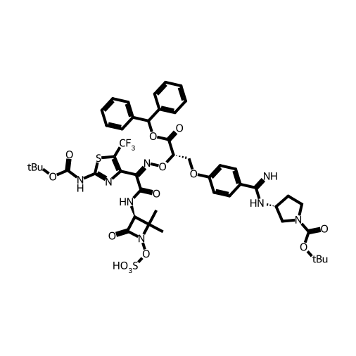 CC(C)(C)OC(=O)Nc1nc(/C(=N/O[C@@H](COc2ccc(C(=N)N[C@@H]3CCN(C(=O)OC(C)(C)C)C3)cc2)C(=O)OC(c2ccccc2)c2ccccc2)C(=O)N[C@@H]2C(=O)N(OS(=O)(=O)O)C2(C)C)c(C(F)(F)F)s1